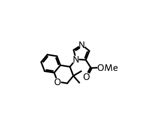 COC(=O)c1cncn1C1c2ccccc2OCC1(C)C